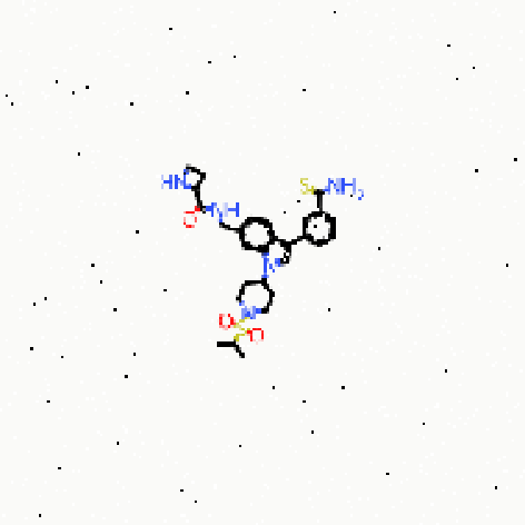 CC(C)S(=O)(=O)N1CCC(n2cc(-c3cccc(C(N)=S)c3)c3ccc(CNC(=O)C4CCN4)cc32)CC1